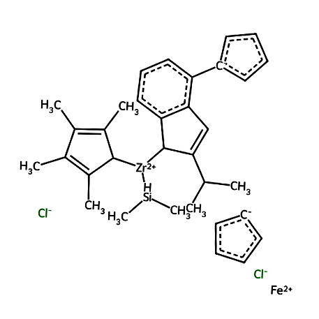 CC1=C(C)[CH]([Zr+2]([CH]2C(C(C)C)=Cc3c(-[c-]4cccc4)cccc32)[SiH](C)C)C(C)=C1C.[Cl-].[Cl-].[Fe+2].c1cc[cH-]c1